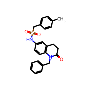 Cc1ccc(CS(=O)(=O)Nc2ccc3c(c2)CCC(=O)N3Cc2ccccc2)cc1